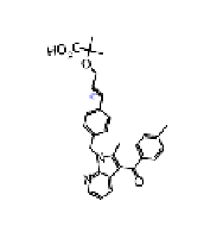 Cc1ccc(C(=O)c2c(C)n(Cc3ccc(/C=C/COC(C)(C)C(=O)O)cc3)c3ncccc23)cc1